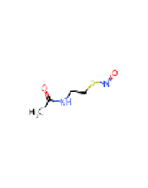 CC(=O)NCCSN=O